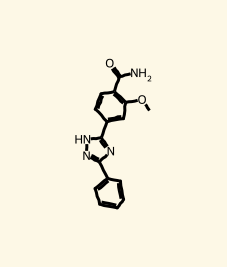 COc1cc(-c2nc(-c3ccccc3)n[nH]2)ccc1C(N)=O